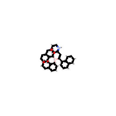 C(=C(/B(c1cccc2ccccc12)c1cccc2ccccc12)c1cccc2ccccc12)/c1ccccn1